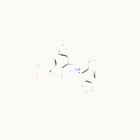 CC(C)(O)c1cc(C#N)cc(SNc2c3c(cc4c2CCC4)CCC3)c1